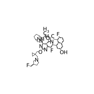 CCc1c(F)ccc2cc(O)cc(-c3nc4c5c(nc(OCC6(CN7CCC(=CF)C7)CC6)nc5c3F)N3CC5CCC(N5)C3C(C)O4)c12